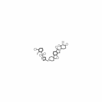 O=C1CC[C@H](N2Cc3c(ccc4c3OCC43CCN(Cc4cnn(S(=O)(=O)c5cccc(Cl)c5F)c4)CC3)C2=O)C(=O)N1